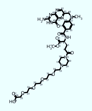 COC(=O)[C@H](CCC(=O)N1CCN(CCOCCOCCOCCOCC(=O)O)CC1)NC(=O)c1ccc(N(C)Cc2cnc3nc(N)[nH]c(=O)c3n2)cc1